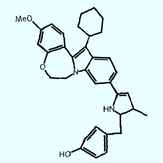 COc1ccc2c(c1)OCCn1c-2c(C2CCCCC2)c2ccc(C3=CC(C)C(Cc4ccc(O)cc4)N3)cc21